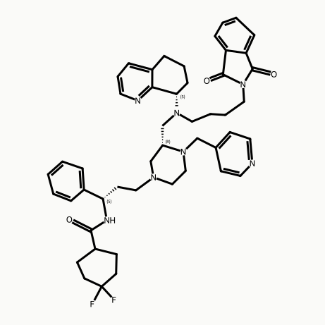 O=C(N[C@@H](CCN1CCN(Cc2ccncc2)[C@@H](CN(CCCCN2C(=O)c3ccccc3C2=O)[C@H]2CCCc3cccnc32)C1)c1ccccc1)C1CCC(F)(F)CC1